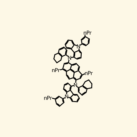 CCCc1cccc(-n2c3ccccc3c3c(N(c4cccc5c4CCCC5)c4cc(CCC)c5ccc6c(N(c7cccc8c7CCCC8)c7cccc8c7c7ccccc7n8-c7cccc(CCC)c7)cc(CCC)c7ccc4c5c76)cccc32)c1